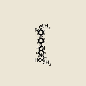 COc1ccc(-c2ccc(-c3cc4ccn(C[C@@H](C)O)cc-4n3)cc2)cc1F